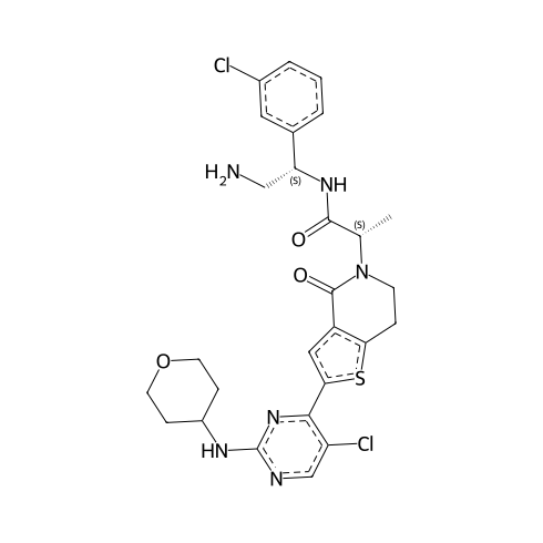 C[C@@H](C(=O)N[C@H](CN)c1cccc(Cl)c1)N1CCc2sc(-c3nc(NC4CCOCC4)ncc3Cl)cc2C1=O